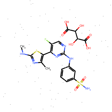 CNc1nc(C)c(-c2nc(Nc3cccc(S(N)(=O)=O)c3)ncc2F)s1.O=C(O)C(O)C(O)C(=O)O